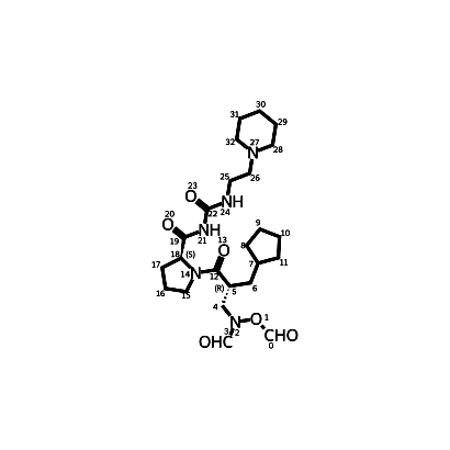 O=CON(C=O)C[C@@H](CC1CCCC1)C(=O)N1CCC[C@H]1C(=O)NC(=O)NCCN1CCCCC1